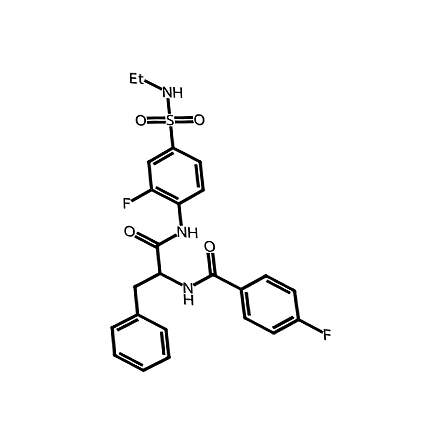 CCNS(=O)(=O)c1ccc(NC(=O)C(Cc2ccccc2)NC(=O)c2ccc(F)cc2)c(F)c1